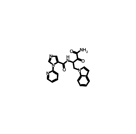 NC(=O)C(=O)C(Cn1ccc2ccccc21)NC(=O)c1cncn1-c1ccccn1